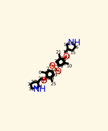 Cc1cc(S(=O)(=O)c2cc(C)c(OCC3CCCNC3)c(C)c2)cc(C)c1OCC1CCCNC1